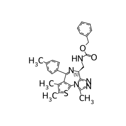 Cc1ccc(C2=N[C@@H](CNC(=O)OCc3ccccc3)c3nnc(C)n3-c3sc(C)c(C)c32)cc1